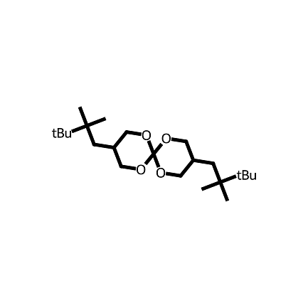 CC(C)(C)C(C)(C)CC1COC2(OC1)OCC(CC(C)(C)C(C)(C)C)CO2